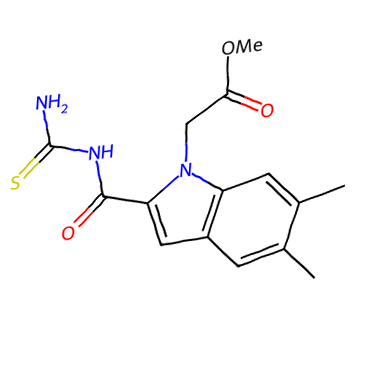 COC(=O)Cn1c(C(=O)NC(N)=S)cc2cc(C)c(C)cc21